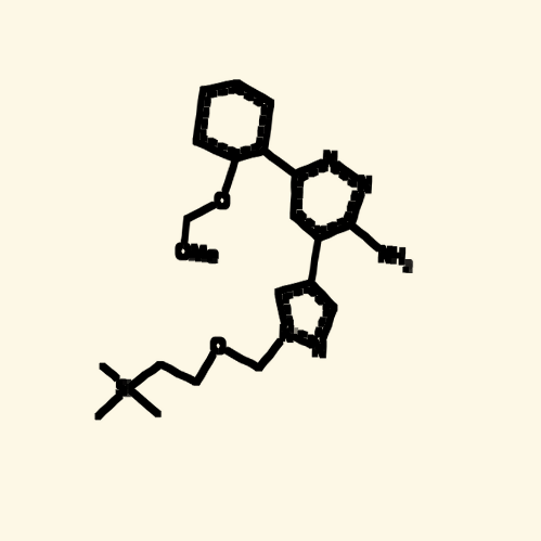 COCOc1ccccc1-c1cc(-c2cnn(COCC[Si](C)(C)C)c2)c(N)nn1